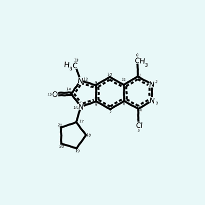 Cc1nnc(Cl)c2cc3c(cc12)n(C)c(=O)n3C1CCCC1